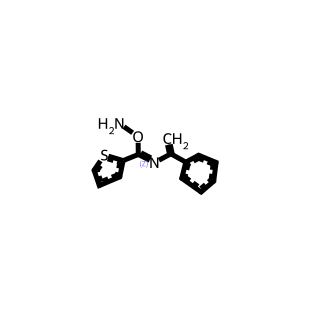 C=C(/N=C(\ON)c1cccs1)c1ccccc1